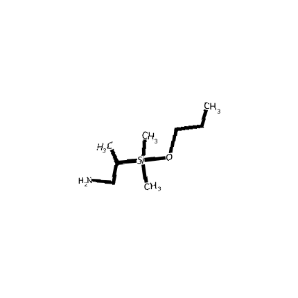 CCCO[Si](C)(C)C(C)CN